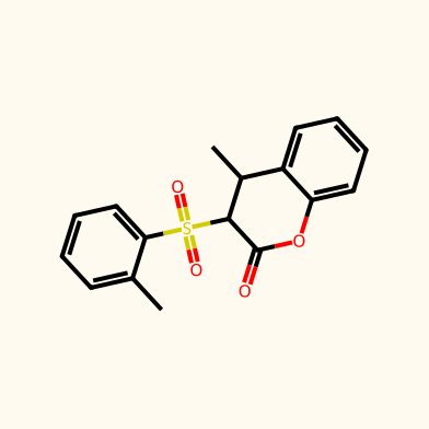 Cc1ccccc1S(=O)(=O)C1C(=O)Oc2ccccc2C1C